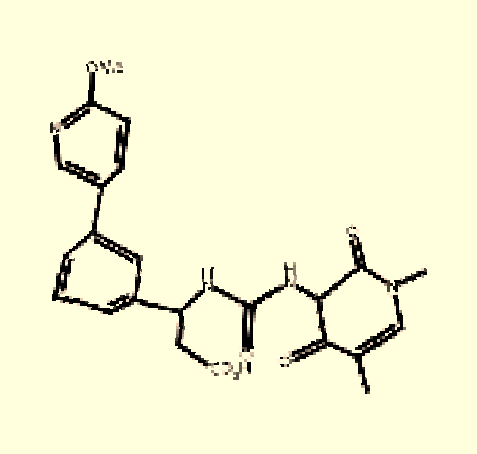 COc1ccc(-c2cccc(C(CC(=O)O)NC(=O)NC3C(=O)C(C)=CN(C)C3=O)c2)cn1